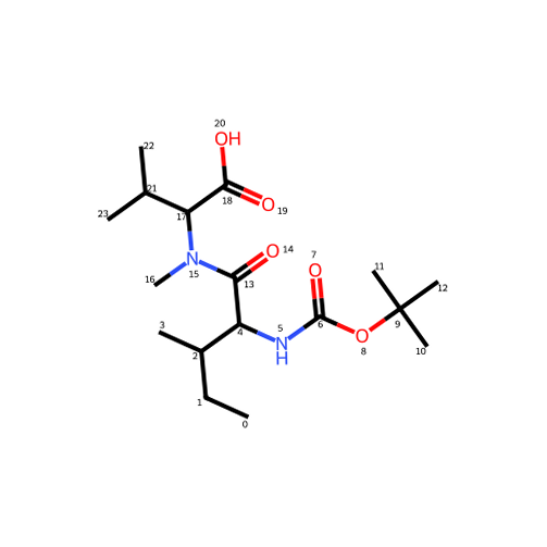 CCC(C)C(NC(=O)OC(C)(C)C)C(=O)N(C)C(C(=O)O)C(C)C